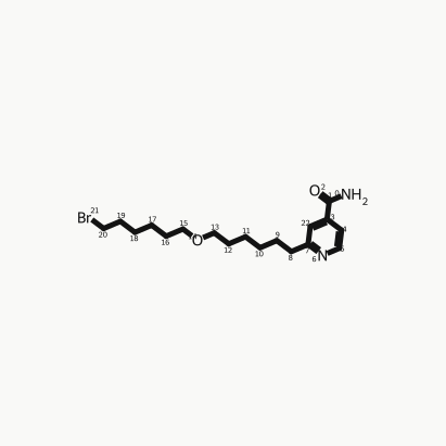 NC(=O)c1ccnc(CCCCCCOCCCCCCBr)c1